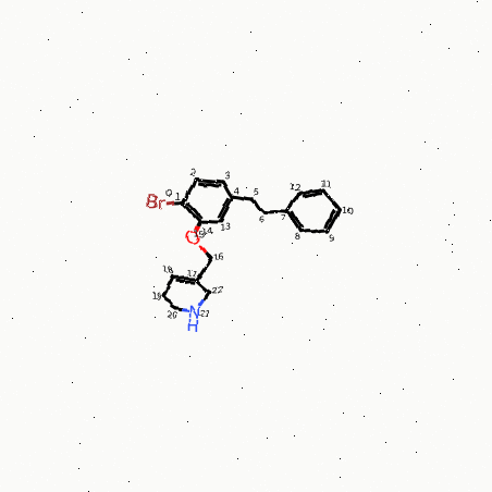 Brc1ccc(CCc2ccccc2)cc1OCC1=CCCNC1